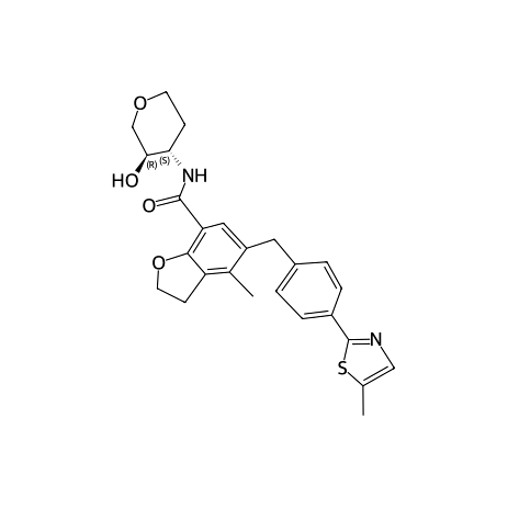 Cc1cnc(-c2ccc(Cc3cc(C(=O)N[C@H]4CCOC[C@@H]4O)c4c(c3C)CCO4)cc2)s1